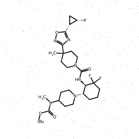 CN(C(=O)OC(C)(C)C)C1CCN([C@H]2CCCC(F)(F)[C@@H]2NC(=O)N2CCC(C)(c3noc([C@@H]4C[C@@H]4F)n3)CC2)CC1